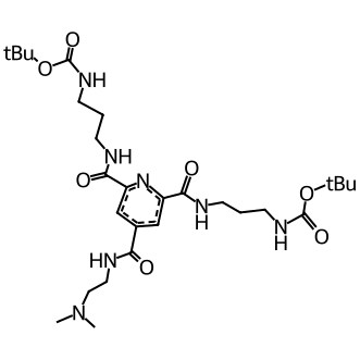 CN(C)CCNC(=O)c1cc(C(=O)NCCCNC(=O)OC(C)(C)C)nc(C(=O)NCCCNC(=O)OC(C)(C)C)c1